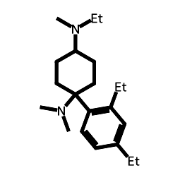 CCc1ccc(C2(N(C)C)CCC(N(C)CC)CC2)c(CC)c1